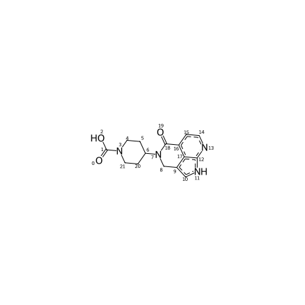 O=C(O)N1CCC(N2Cc3c[nH]c4nccc(c34)C2=O)CC1